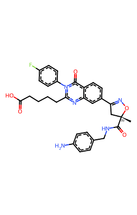 C[C@@]1(C(=O)NCc2ccc(N)cc2)CC(c2ccc3c(=O)n(-c4ccc(F)cc4)c(CCCCC(=O)O)nc3c2)=NO1